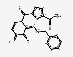 C=C1C=CC(C(=O)c2ccc(C(=O)OC)o2)C(=NNCc2ccccc2)C1=O